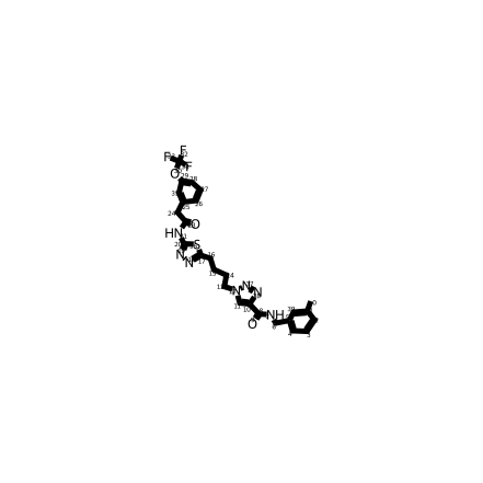 Cc1cccc(CNC(=O)c2cn(CCCCc3nnc(NC(=O)Cc4cccc(OC(F)(F)F)c4)s3)nn2)c1